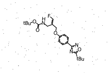 CC(C)(C)OC(=O)NC/C(=C\F)COc1ccc(-c2noc(C(C)(C)C)n2)cc1